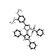 COc1ccc(C2=NN(S(=O)(=O)c3ccccc3)C(c3cn(-c4ccccc4)nc3-c3ccccc3)C2)cc1OC